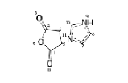 O=C1CCC(=O)O1.c1c[nH]cn1